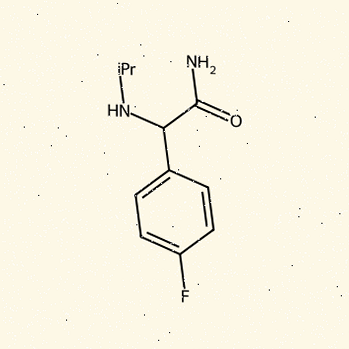 CC(C)NC(C(N)=O)c1ccc(F)cc1